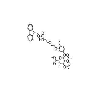 CCc1ccc(O[C@@H]2O[C@H](C(=O)OC)[C@@H](C)[C@H](OC(C)=O)[C@H]2OC(C)=O)cc1OCCOCCNC(=O)OCC1c2ccccc2-c2ccccc21